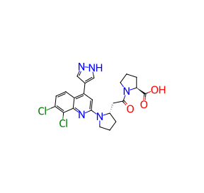 O=C(O)[C@@H]1CCCN1C(=O)C[C@@H]1CCCN1c1cc(-c2cn[nH]c2)c2ccc(Cl)c(Cl)c2n1